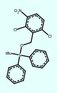 CC(C)(C)[Si](OCc1c(Cl)ccc([N+](=O)[O-])c1Cl)(c1ccccc1)c1ccccc1